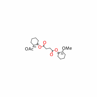 CO[C@H]1CCCC[C@@H]1OC(=O)CCC(=O)O[C@H]1CCCC[C@@H]1OC(C)=O